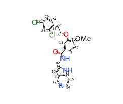 COc1ccc(C(=O)NCc2cc3cnccc3[nH]2)cc1OCCc1ccc(Cl)cc1Cl